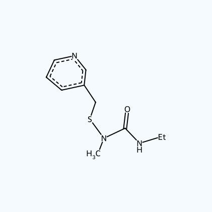 CCNC(=O)N(C)SCc1cccnc1